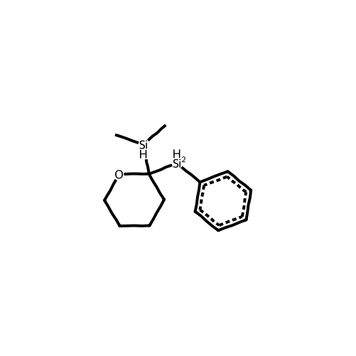 C[SiH](C)C1([SiH2]c2ccccc2)CCCCO1